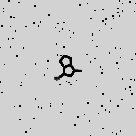 CN1CC(N)N2CCCC12